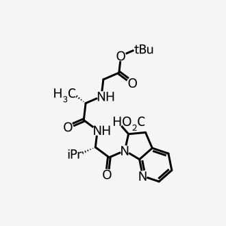 CC(C)[C@H](NC(=O)[C@H](C)NCC(=O)OC(C)(C)C)C(=O)N1c2ncccc2CC1C(=O)O